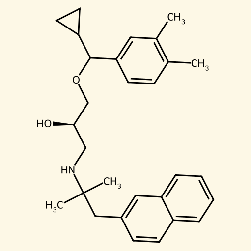 Cc1ccc(C(OC[C@H](O)CNC(C)(C)Cc2ccc3ccccc3c2)C2CC2)cc1C